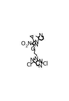 Cc1ncccc1-n1nc(OCCCn2nc(Cl)c3cnc(Cl)nc32)c([N+](=O)[O-])c1C1CC1